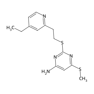 CCc1ccnc(CCSc2nc(N)cc(SC)n2)c1